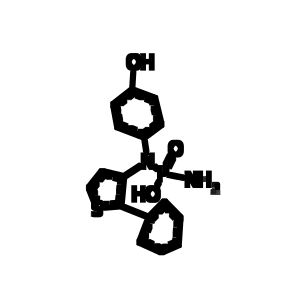 NP(=O)(O)N(c1ccc(O)cc1)c1ccsc1-c1ccccc1